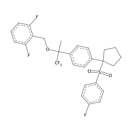 CC(OCc1c(F)cccc1F)(c1ccc(C2(S(=O)(=O)c3ccc(F)cc3)CCCC2)cc1)C(F)(F)F